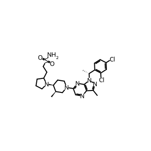 Cc1nn([C@H](C)c2ccc(Cl)cc2Cl)c2nc(N3CC[C@H](N4CCCC4CCS(N)(=O)=O)[C@H](C)C3)cnc12